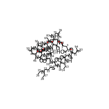 C/C=C/C[C@@H](C)C(O)[C@@H](C(=O)N[C@@H](CC)C(=O)N(C)[C@H](SCCCN(CC)CC)C(=O)N(C)[C@@H](CC(C)(C)O)C(=O)N[C@H](C(=O)N(C)[C@@H](CC(C)C)C(=O)N[C@@H](C)C(=O)N[C@H](C)C(=O)N(C)[C@@H](CC(C)C)C(=O)N(C)[C@@H](CC(C)C)C(=O)NC)C(C)C)N(C)C(=O)CC(C)C